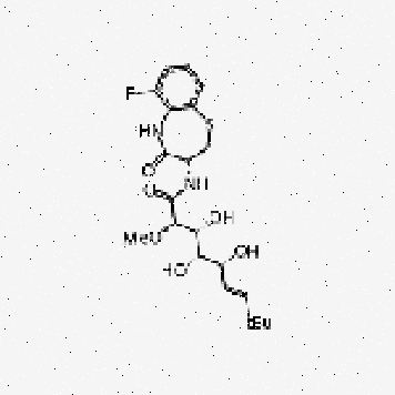 CO[C@@H](C(=O)N[C@H]1CSc2cccc(F)c2NC1=O)[C@H](O)[C@@H](O)[C@H](O)C=CC(C)(C)C